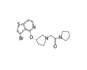 O=C(CN1CC[C@H](Oc2nccc3scc(Br)c23)C1)N1CCCC1